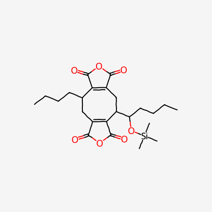 CCCCC1CC2=C(C(=O)OC2=O)C(C(CCCC)O[Si](C)(C)C)CC2=C1C(=O)OC2=O